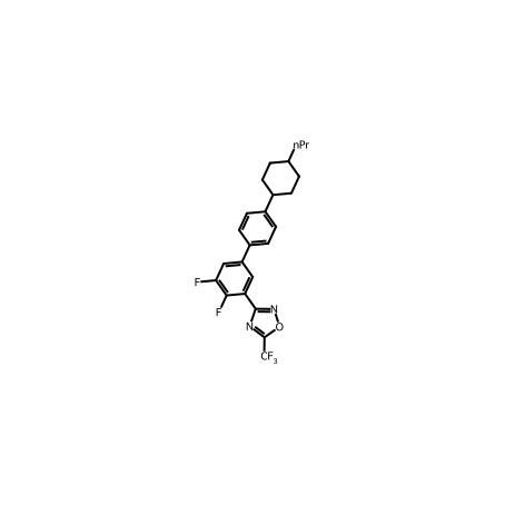 CCCC1CCC(c2ccc(-c3cc(F)c(F)c(-c4noc(C(F)(F)F)n4)c3)cc2)CC1